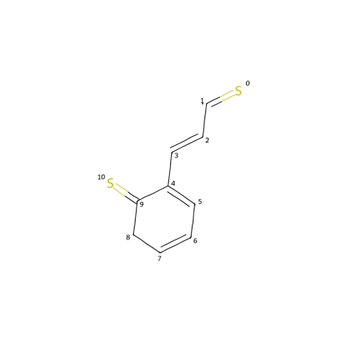 S=[C]C=CC1=CC=CCC1=S